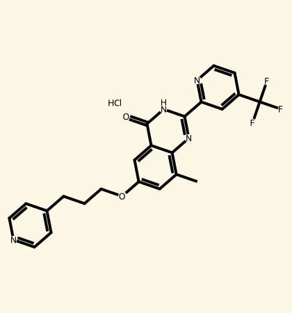 Cc1cc(OCCCc2ccncc2)cc2c(=O)[nH]c(-c3cc(C(F)(F)F)ccn3)nc12.Cl